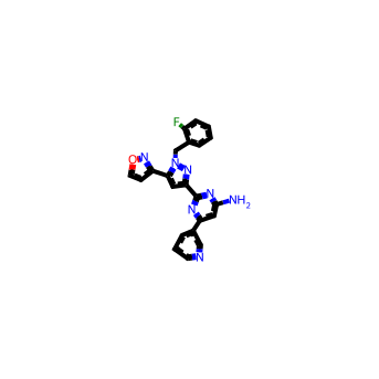 Nc1cc(-c2cccnc2)nc(-c2cc(-c3ccon3)n(Cc3ccccc3F)n2)n1